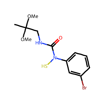 COC(C)(CNC(=O)N(S)c1cccc(Br)c1)OC